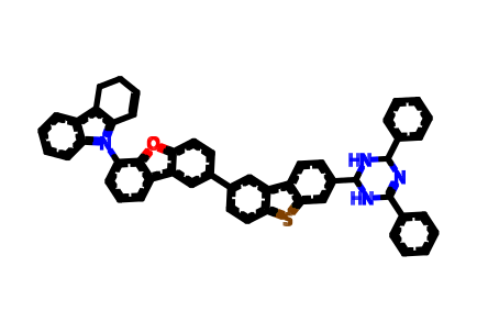 C1=Cc2c(c3ccccc3n2-c2cccc3c2oc2ccc(-c4ccc5sc6cc(C7NC(c8ccccc8)=NC(c8ccccc8)N7)ccc6c5c4)cc23)CC1